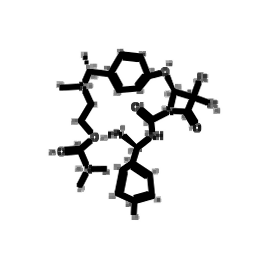 CCC[C@@H](NC(=O)N1C(=O)C(CC)(CC)[C@@H]1Oc1ccc([C@@H](C)N(C)CCOC(=O)N(C)C)cc1)c1ccc(C)cc1